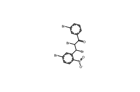 O=C(c1cccc(Br)c1)C(Br)C(Br)c1cc(Br)ccc1[N+](=O)[O-]